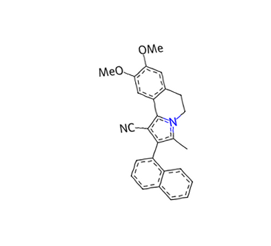 COc1cc2c(cc1OC)-c1c(C#N)c(-c3cccc4ccccc34)c(C)n1CC2